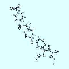 CCOC(=O)c1cc2ccc(Oc3ccc(N(C)C(=O)c4ccc([N+](=O)[O-])cc4)cn3)cc2n1COC